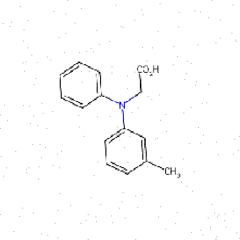 Cc1cccc(N(CC(=O)O)c2ccccc2)c1